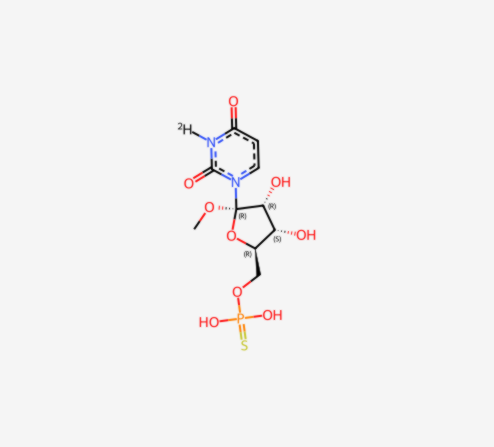 [2H]n1c(=O)ccn([C@]2(OC)O[C@H](COP(O)(O)=S)[C@@H](O)[C@H]2O)c1=O